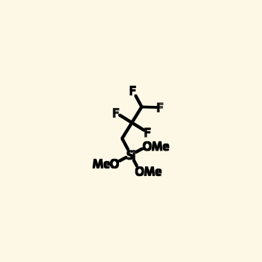 CO[Si](CC(F)(F)C(F)F)(OC)OC